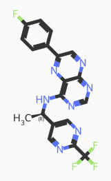 C[C@@H](Nc1ncnc2ncc(-c3ccc(F)cc3)nc12)c1cnc(C(F)(F)F)nc1